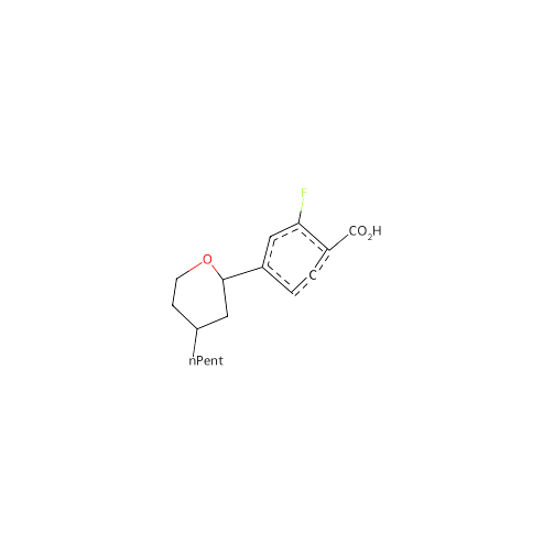 CCCCCC1CCOC(c2ccc(C(=O)O)c(F)c2)C1